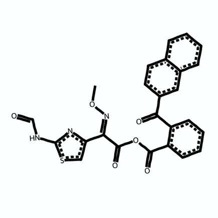 CON=C(C(=O)OC(=O)c1ccccc1C(=O)c1ccc2ccccc2c1)c1csc(NC=O)n1